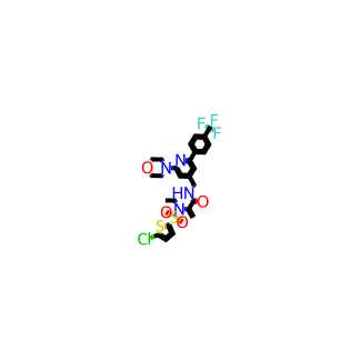 C=C(C(=O)NCc1cc(-c2ccc(C(F)(F)F)cc2)nc(N2CCOCC2)c1)N(CC)S(=O)(=O)c1ccc(Cl)s1